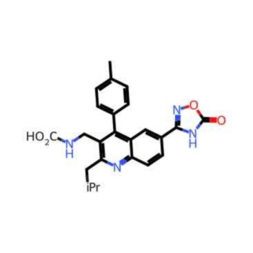 Cc1ccc(-c2c(CNC(=O)O)c(CC(C)C)nc3ccc(-c4noc(=O)[nH]4)cc23)cc1